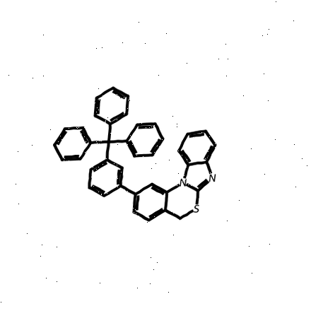 c1ccc(C(c2ccccc2)(c2ccccc2)c2cccc(-c3ccc4c(c3)-n3c(nc5ccccc53)SC4)c2)cc1